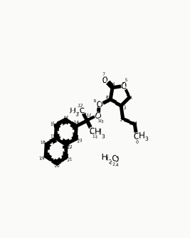 CCCC1COC(=O)C1OOC(C)(C)c1ccc2ccccc2c1.O